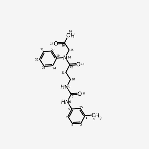 Cc1cccc(NC(=O)NCCC(=O)N(CC(=O)O)c2ccccc2)c1